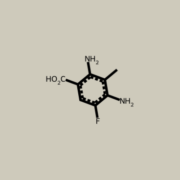 Cc1c(N)c(F)cc(C(=O)O)c1N